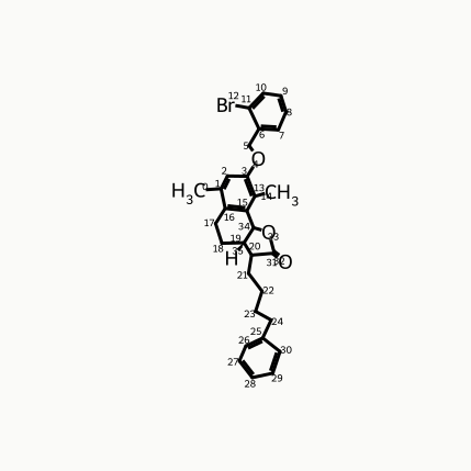 Cc1cc(OCc2ccccc2Br)c(C)c2c1CC[C@H]1C(CCCCc3ccccc3)C(=O)OC21